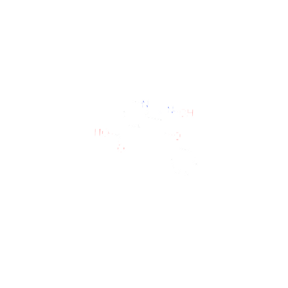 O=C(O)c1ccnc(/C(COc2ccccc2)=N/O)c1